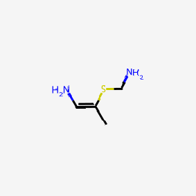 C/C(=C/N)SCN